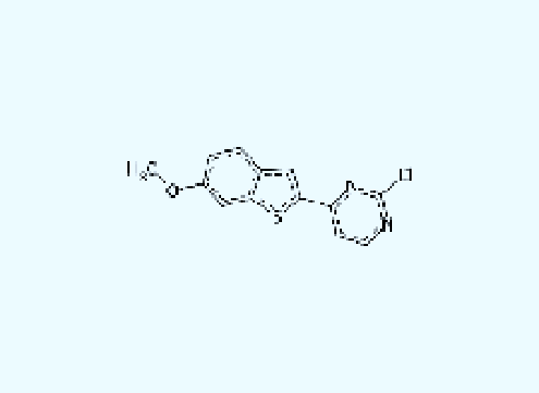 COc1ccc2cc(-c3ccnc(Cl)n3)sc2c1